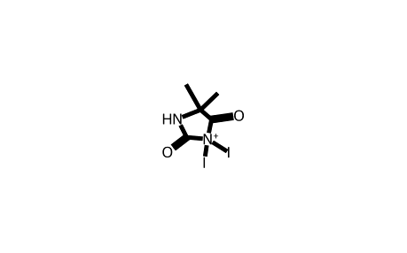 CC1(C)NC(=O)[N+](I)(I)C1=O